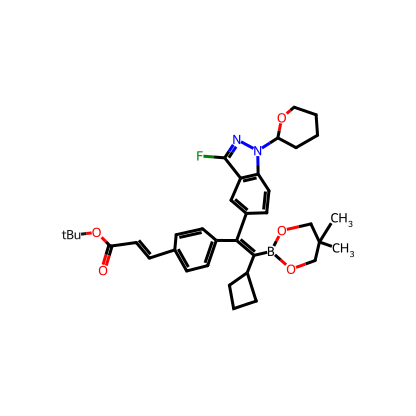 CC1(C)COB(/C(=C(/c2ccc(C=CC(=O)OC(C)(C)C)cc2)c2ccc3c(c2)c(F)nn3C2CCCCO2)C2CCC2)OC1